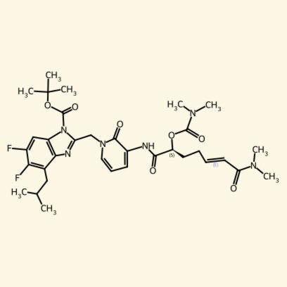 CC(C)Cc1c(F)c(F)cc2c1nc(Cn1cccc(NC(=O)[C@H](CC/C=C/C(=O)N(C)C)OC(=O)N(C)C)c1=O)n2C(=O)OC(C)(C)C